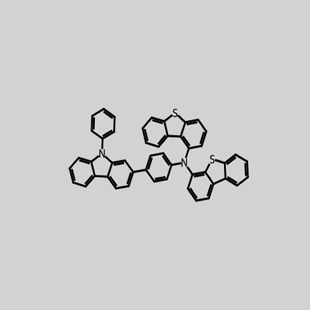 c1ccc(-n2c3ccccc3c3ccc(-c4ccc(N(c5cccc6c5sc5ccccc56)c5cccc6sc7ccccc7c56)cc4)cc32)cc1